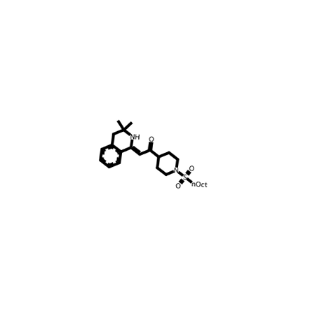 CCCCCCCCS(=O)(=O)N1CCC(C(=O)/C=C2\NC(C)(C)Cc3ccccc32)CC1